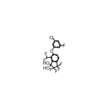 OC1(O)c2c(ccc(Oc3cc(F)cc(Cl)c3)c2C(F)F)C(F)(F)C1(F)F